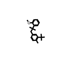 COc1ccccc1C(C)(C)Cc1ccc(C)c(C(C)(C)C)c1